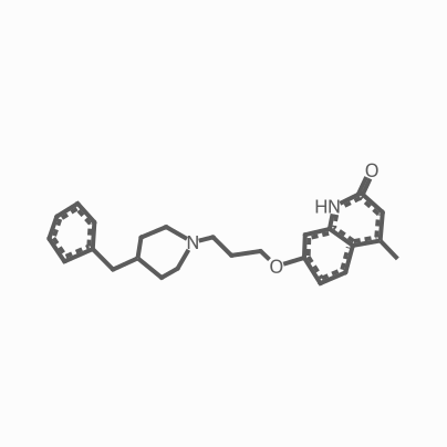 Cc1cc(=O)[nH]c2cc(OCCCN3CCC(Cc4ccccc4)CC3)ccc12